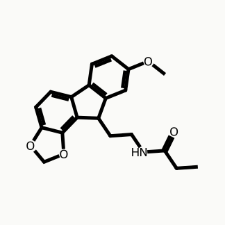 CCC(=O)NCCC1c2cc(OC)ccc2-c2ccc3c(c21)OCO3